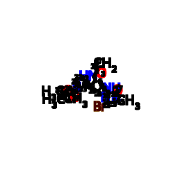 C=CC(=O)Nc1cc(Nc2nc(Br)cn(C)c2=O)ccc1[C@@H]1CCCN(C(=O)OC(C)(C)C)C1